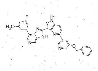 Cc1cc(F)cc(-c2cncc3[nH]c(-c4n[nH]c5ccc(-c6cncc(OCc7ccccc7)c6)nc45)nc23)c1